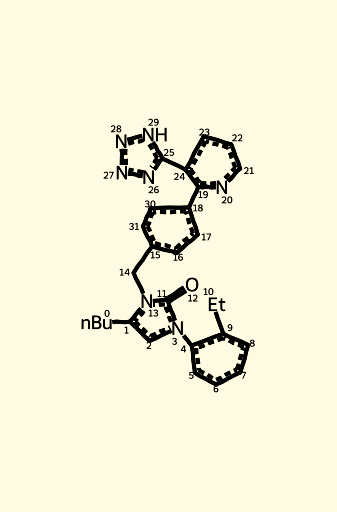 CCCCc1cn(-c2ccccc2CC)c(=O)n1Cc1ccc(-c2ncccc2-c2nnn[nH]2)cc1